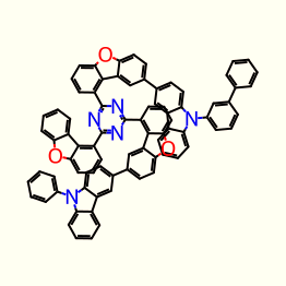 c1ccc(-c2cccc(-n3c4ccccc4c4cc(-c5ccc6oc7cccc(-c8nc(-c9cccc%10oc%11ccccc%11c9%10)nc(-c9cccc%10oc%11ccc(-c%12ccc%13c(c%12)c%12ccccc%12n%13-c%12ccccc%12)cc%11c9%10)n8)c7c6c5)ccc43)c2)cc1